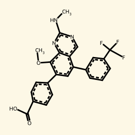 CNc1ncc2c(-c3cccc(C(F)(F)F)c3)cc(-c3ccc(C(=O)O)cc3)c(OC)c2n1